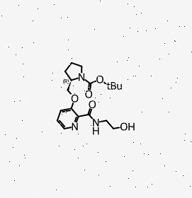 CC(C)(C)OC(=O)N1CCC[C@@H]1COc1cccnc1C(=O)NCCO